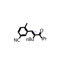 CCCC/C(=C\c1cc(C#N)ccc1C)C(=O)C(C)C